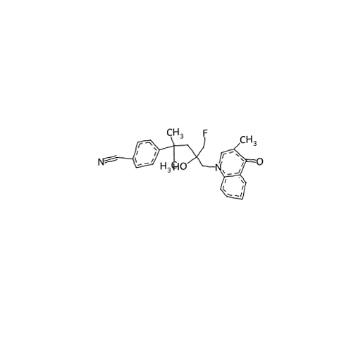 Cc1cn(CC(O)(CF)CC(C)(C)c2ccc(C#N)cc2)c2ccccc2c1=O